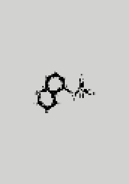 O=[SH](=O)Oc1cccc2ncccc12